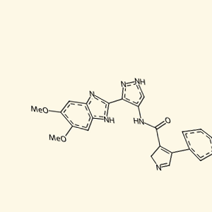 COc1cc2nc(-c3n[nH]cc3NC(=O)C3=C(c4ccccc4)C=NC3)[nH]c2cc1OC